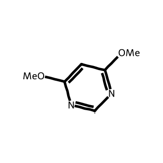 COc1cc(OC)n[c]n1